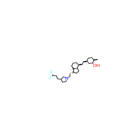 C=C1CC/C(=C/C=C2\CCC[C@@]3(C)C2CC[C@@H]3CCN2CCC(CCC(F)F)C2)CC1O